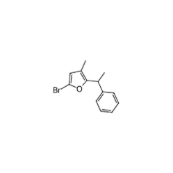 Cc1cc(Br)oc1C(C)c1ccccc1